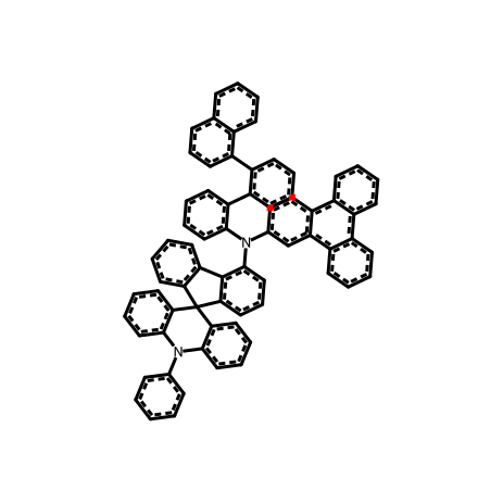 c1ccc(N2c3ccccc3C3(c4ccccc4-c4c(N(c5ccc6c7ccccc7c7ccccc7c6c5)c5ccccc5-c5ccccc5-c5cccc6ccccc56)cccc43)c3ccccc32)cc1